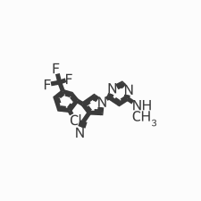 CNc1cc(-n2cc(C#N)c(-c3cc(C(F)(F)F)ccc3Cl)c2)ncn1